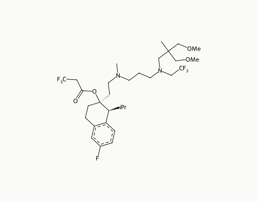 COCC(C)(COC)CN(CCCN(C)CC[C@@]1(OC(=O)CC(F)(F)F)CCc2cc(F)ccc2[C@@H]1C(C)C)CC(F)(F)F